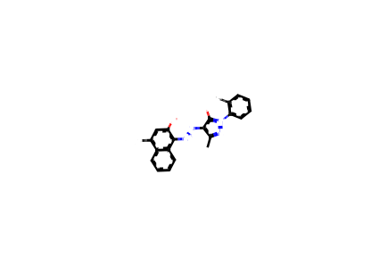 Cc1nn(-c2ccccc2[N+](=O)[O-])c(O)c1/N=N/c1c(O)cc(S(=O)(=O)O)c2ccccc12